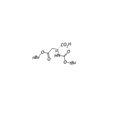 CCCCOC(=O)C[C@@H](NC(=O)OC(C)(C)C)C(=O)O